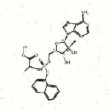 CC(C)OC(=O)C(C)NP(=S)(OC[C@H]1O[C@@H](n2cnc3c(N)ncnc32)[C@](C)(O)[C@@H]1O)Oc1cccc2ccccc12